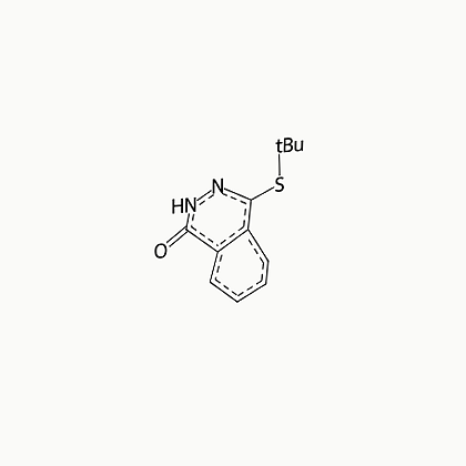 CC(C)(C)Sc1n[nH]c(=O)c2ccccc12